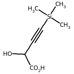 C[Si](C)(C)C#CC(O)C(=O)O